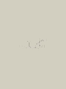 CCC(CO)SC1CNC(NO)S1